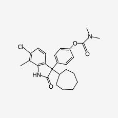 Cc1c(Cl)ccc2c1NC(=O)C2(c1ccc(OC(=O)N(C)C)cc1)C1CCCCCC1